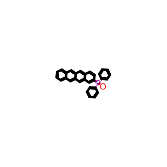 O=P(c1ccccc1)(c1ccccc1)c1ccc2cc3cc4ccccc4cc3cc2c1